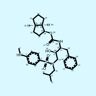 CNc1ccc(S(=O)(=O)N(CC(C)C)C[C@@H](O)[C@H](Cc2ccccc2)NC(=O)O[C@H]2CC[C@H]3CCC[C@H]32)cc1